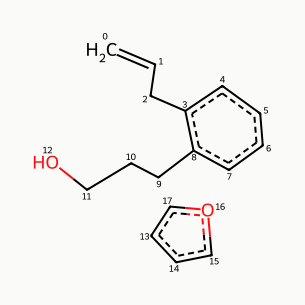 C=CCc1ccccc1CCCO.c1ccoc1